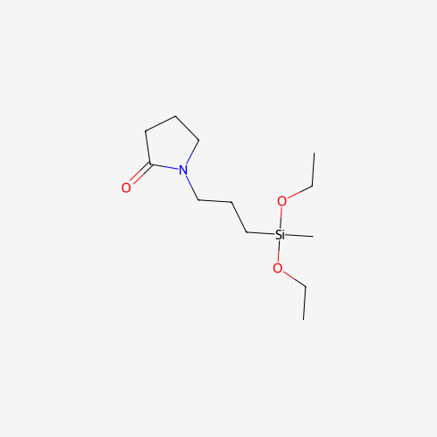 CCO[Si](C)(CCCN1CCCC1=O)OCC